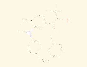 COc1ccc(N(C(C)=O)c2cc3c(cc2[N+](=O)[O-])OC(C)(C)C(O)=C3OCc2ccccc2)cc1